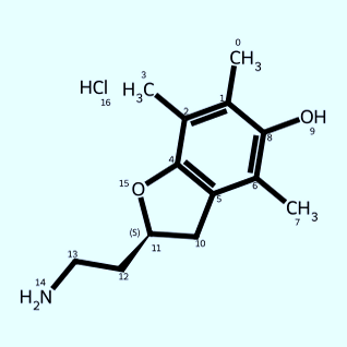 Cc1c(C)c2c(c(C)c1O)C[C@@H](CCN)O2.Cl